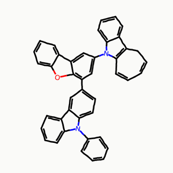 C1=CCc2c(n(-c3cc(-c4ccc5c(c4)c4ccccc4n5-c4ccccc4)c4oc5ccccc5c4c3)c3ccccc23)C=C1